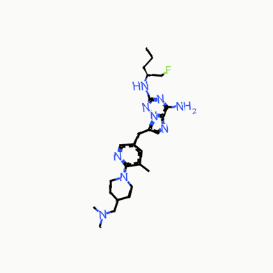 CCC[C@@H](CF)Nc1nc(N)c2ncc(Cc3cnc(N4CCC(CN(C)C)CC4)c(C)c3)n2n1